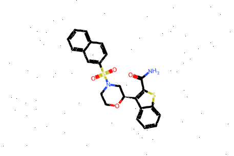 NC(=O)c1sc2ccccc2c1[C@@H]1CN(S(=O)(=O)c2ccc3ccccc3c2)CCO1